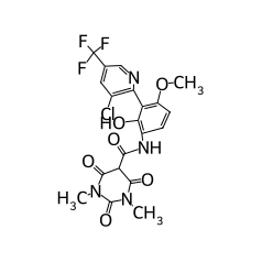 COc1ccc(NC(=O)C2C(=O)N(C)C(=O)N(C)C2=O)c(O)c1-c1ncc(C(F)(F)F)cc1Cl